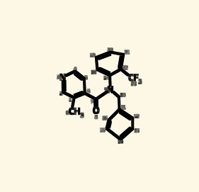 Cc1cnccc1C(=O)N(Cc1ccccc1)c1ccccc1C(F)(F)F